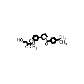 CC(C)c1ccc(C(=O)N2CCCC(c3cccc(OC(C)(C)C(=O)CCO)c3)C2)cc1